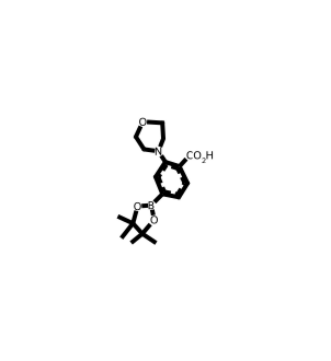 CC1(C)OB(c2ccc(C(=O)O)c(N3CCOCC3)c2)OC1(C)C